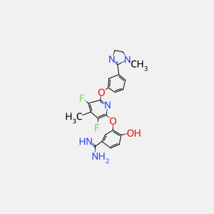 Cc1c(F)c(Oc2cccc(C3=NCCN3C)c2)nc(Oc2cc(C(=N)N)ccc2O)c1F